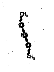 CCCCC[C@H]1CC[C@H](C#Cc2ccc(C#C[C@H]3CC[C@H](CCCCC)CC3)nc2)CC1